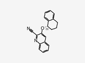 N#Cc1nc2ccccc2cc1O[C@H]1CCCc2ccccc21